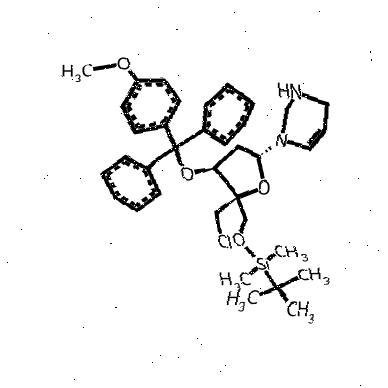 COc1ccc(C(O[C@H]2C[C@H](N3C=CCNC3)O[C@]2(CCl)CO[Si](C)(C)C(C)(C)C)(c2ccccc2)c2ccccc2)cc1